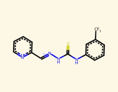 FC(F)(F)c1cccc(NC(=S)N/N=C/c2ccccn2)c1